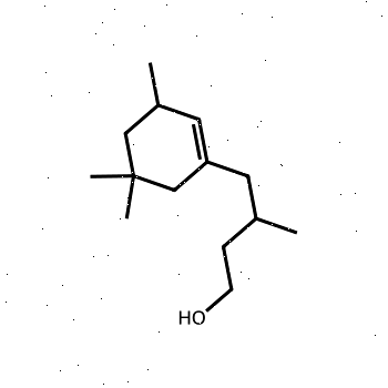 CC1C=C(CC(C)CCO)CC(C)(C)C1